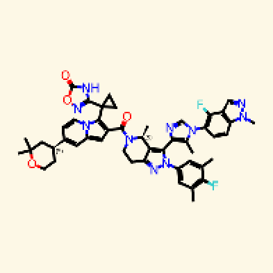 Cc1cc(-n2nc3c(c2-c2ncn(-c4ccc5c(cnn5C)c4F)c2C)[C@H](C)N(C(=O)c2cc4cc([C@H]5CCOC(C)(C)C5)ccn4c2C2(c4noc(=O)[nH]4)CC2)CC3)cc(C)c1F